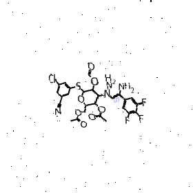 CC(=O)OCC1OC(Sc2cc(Cl)cc(C#N)c2)C(OC=O)C(N(N)/C=C(\N)c2cc(F)c(F)c(F)c2)C1OC(C)=O